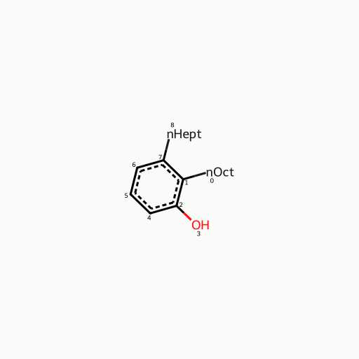 CCCCCCCCc1c(O)cccc1CCCCCCC